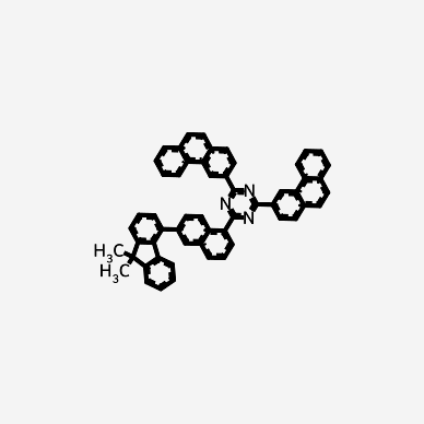 CC1(C)c2ccccc2-c2c(-c3ccc4c(-c5nc(-c6ccc7ccc8ccccc8c7c6)nc(-c6ccc7ccc8ccccc8c7c6)n5)cccc4c3)cccc21